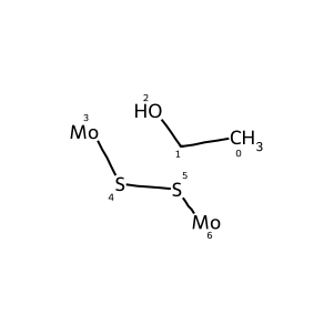 CCO.[Mo][S][S][Mo]